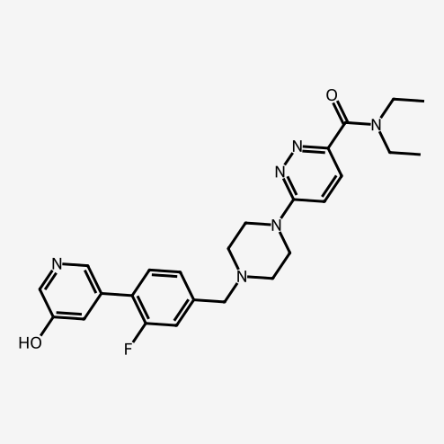 CCN(CC)C(=O)c1ccc(N2CCN(Cc3ccc(-c4cncc(O)c4)c(F)c3)CC2)nn1